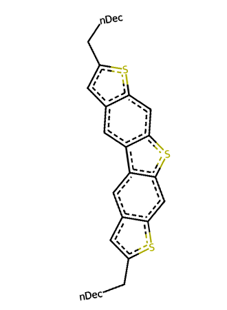 CCCCCCCCCCCc1cc2cc3c(cc2s1)sc1cc2sc(CCCCCCCCCCC)cc2cc13